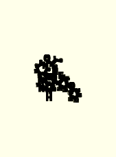 C/C=C(\C#N)C(=O)N1CCCCC(Nc2ncnc3[nH]cc(C(=O)c4ccc(Oc5ccccc5)cc4F)c23)C1